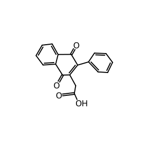 O=C(O)CC1=C(c2ccccc2)C(=O)c2ccccc2C1=O